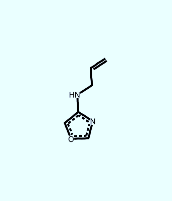 C=CCNc1cocn1